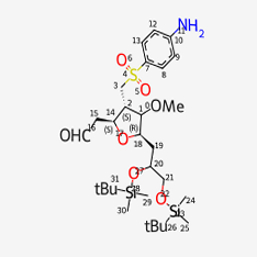 COC1[C@@H](CS(=O)(=O)c2ccc(N)cc2)[C@H](CC=O)O[C@@H]1CC(CO[Si](C)(C)C(C)(C)C)O[Si](C)(C)C(C)(C)C